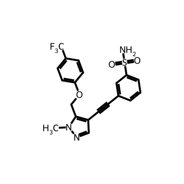 Cn1ncc(C#Cc2cccc(S(N)(=O)=O)c2)c1COc1ccc(C(F)(F)F)cc1